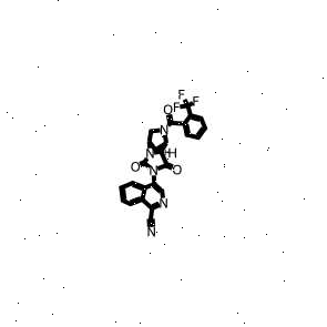 N#Cc1ncc(N2C(=O)[C@@H]3C4CC(CN4C(=O)c4ccccc4C(F)(F)F)N3C2=O)c2ccccc12